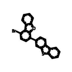 Brc1ccc(-c2ccc3c(c2)sc2ccccc23)c2oc3ccccc3c12